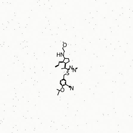 C=C\C=C1/C(=C(C)/C(=N/N=C)SCc2ccc(OC(C)C)c(C#N)c2)CCC1NCCOC